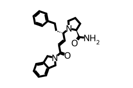 NC(=O)[C@@H]1CCCN1[C@H](/C=C/C(=O)N1Cc2ccccc2C1)CCc1ccccc1